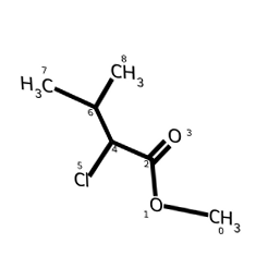 COC(=O)C(Cl)C(C)C